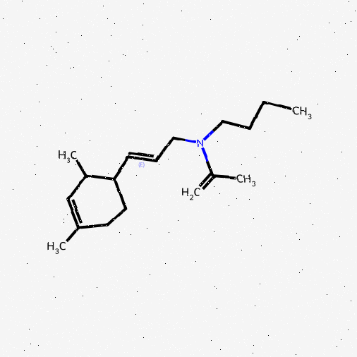 C=C(C)N(C/C=C/C1CCC(C)=CC1C)CCCC